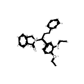 CCOc1ccc(C(CCc2ccccc2)N2Cc3ccccc3C2=O)cc1OCC